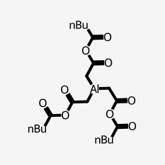 CCCCC(=O)OC(=O)[CH2][Al]([CH2]C(=O)OC(=O)CCCC)[CH2]C(=O)OC(=O)CCCC